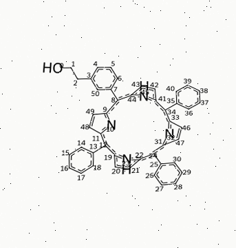 OCCc1cccc(-c2c3nc(c(-c4ccccc4)c4ccc([nH]4)c(-c4ccccc4)c4nc(c(-c5ccccc5)c5ccc2[nH]5)C=C4)C=C3)c1